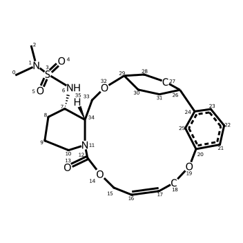 CN(C)S(=O)(=O)N[C@H]1CCCN2C(=O)OC/C=C\COc3cccc(c3)C3CCC(CC3)OC[C@@H]12